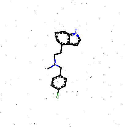 CN(CCc1cccc2[nH]ccc12)Cc1ccc(Cl)cc1